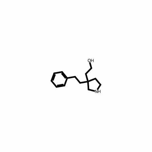 OCCC1(CCc2ccccc2)CCNC1